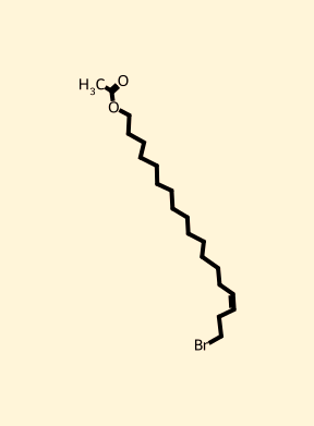 CC(=O)OCCCCCCCCCCCCCC/C=C\CCBr